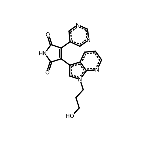 O=C1NC(=O)C(c2cn(CCCO)c3ncccc23)=C1c1cncnc1